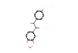 O=C(O)c1ccc(C(O)C(C(=O)O)c2ccc3c(c2)OCO3)cc1